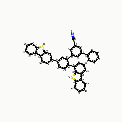 N#Cc1cc(-c2ccccc2)cc(-c2cc(-c3ccc4c(c3)sc3ccccc34)ccc2-c2cccc3c2sc2ccccc23)c1